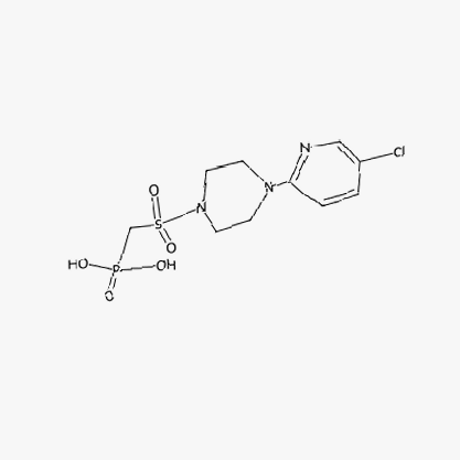 O=P(O)(O)CS(=O)(=O)N1CCN(c2ccc(Cl)cn2)CC1